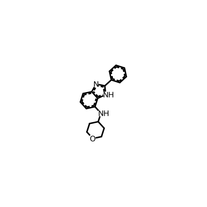 c1ccc(-c2nc3cccc(NC4CCOCC4)c3[nH]2)cc1